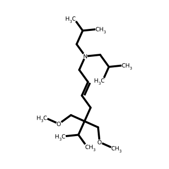 COCC(C/C=C/CN(CC(C)C)CC(C)C)(COC)C(C)C